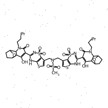 CC(C)CCN1C(=O)C(C2=NS(=O)(=O)c3c(CN(Cc4csc5c4S(=O)(=O)N=C(C4=C(O)C6C7CCC(O7)C6N(CCC(C)C)C4=O)N5)S(C)(=O)=O)csc3N2)=C(O)C2C3CCC(O3)C21